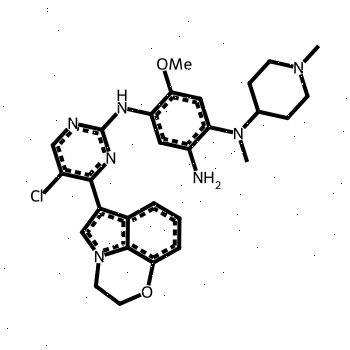 COc1cc(N(C)C2CCN(C)CC2)c(N)cc1Nc1ncc(Cl)c(-c2cn3c4c(cccc24)OCC3)n1